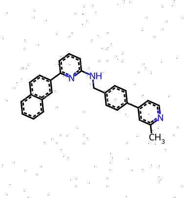 Cc1cc(-c2ccc(CNc3cccc(-c4ccc5ccccc5c4)n3)cc2)ccn1